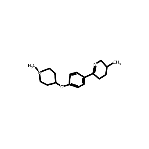 CC1CCC(c2ccc(OC3CCN(C)CC3)cc2)=NC1